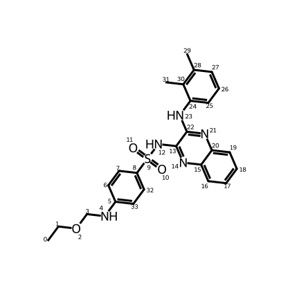 CCOCNc1ccc(S(=O)(=O)Nc2nc3ccccc3nc2Nc2cccc(C)c2C)cc1